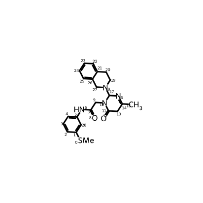 CSc1cccc(NC(=O)CN2C(=O)CC(C)=NC2N2CCc3ccccc3C2)c1